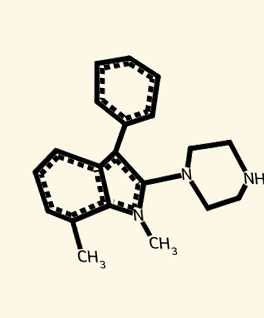 Cc1cccc2c(-c3ccccc3)c(N3CCNCC3)n(C)c12